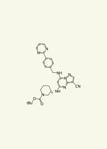 CC(C)(C)OC(=O)N1CCC[C@H](Nc2cc(NCc3ccc(-c4ncccn4)cc3)n3ncc(C#N)c3n2)C1